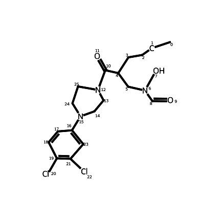 CCCCC(CN(O)C=O)C(=O)N1CCN(c2ccc(Cl)c(Cl)c2)CC1